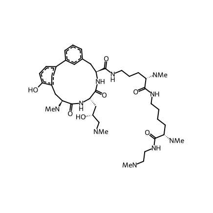 CNCCNC(=O)[C@H](CCCCNC(=O)[C@H](CCCNC(=O)[C@@H]1Cc2cccc(c2)-c2ccc(O)c(c2)C[C@H](NC)C(=O)N[C@@H](C[C@@H](O)CNC)C(=O)N1)NC)NC